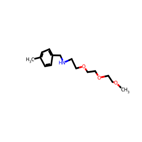 COCCOCCOCCNCc1ccc(C)cc1